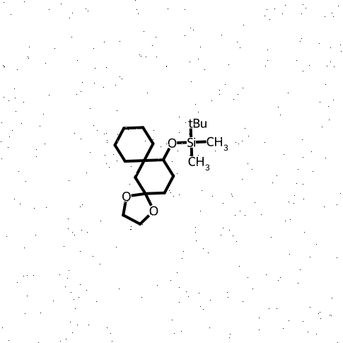 CC(C)(C)[Si](C)(C)OC1CCC2(CC13CCCCC3)OCCO2